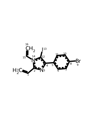 C=Cc1nc(-c2ccc(Br)cc2)c(I)n1C=C